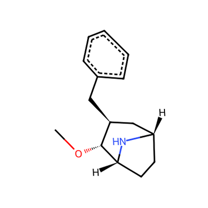 CO[C@@H]1[C@@H](Cc2ccccc2)C[C@@H]2CC[C@H]1N2